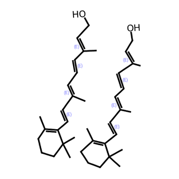 CC1=C(/C=C/C(C)=C/C=C/C(C)=C/CO)C(C)(C)CCC1.CC1=C(/C=C/C(C)=C/C=C/C(C)=C/CO)C(C)(C)CCC1